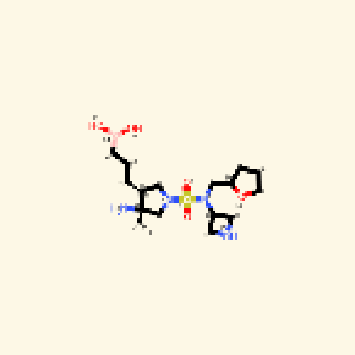 C[C@]1(N)CN(S(=O)(=O)N(CC2CCCO2)C2CNC2)C[C@@H]1CCCB(O)O